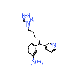 Nc1cccc(/C(=C\CCCn2cnnn2)c2cccnc2)c1